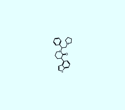 O=C1C(c2cccc3sccc23)CCCN1C(CN1CCCC1)c1ccccc1